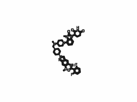 COc1cc2nn([C@H]3CC[C@H](CN(C)C4CCN(c5cccc6c5n(C)c(=O)n6C5CCC(=O)NC5=O)CC4)CC3)cc2cc1NC(=O)c1c(F)cccc1F